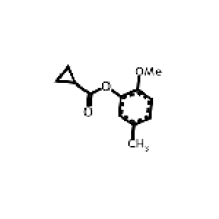 COc1ccc(C)cc1OC(=O)C1CC1